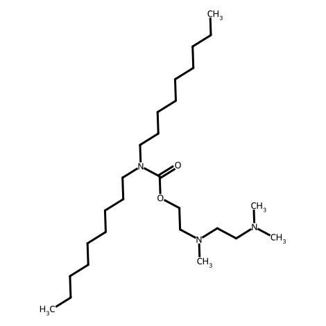 CCCCCCCCCN(CCCCCCCCC)C(=O)OCCN(C)CCN(C)C